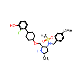 COc1ccc(CN([C@H]2C[C@@H](C)N[C@H]2COC2CCC(c3cccc(O)c3F)CC2)S(C)(=O)=O)cc1